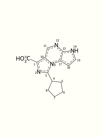 O=C(O)c1nc(C2CCCC2)n2c1cnc1[nH]ccc12